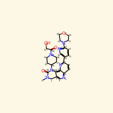 CN1Cc2cnc3ccc(-c4ccc(N5CCOCC5)nc4)nc3c2N(C2CCN(C(=O)CO)CC2)C1=O